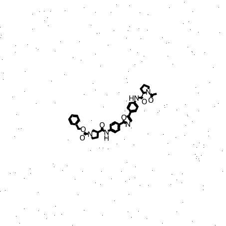 CC(=O)N1CCC[C@@H]1C(=O)Nc1ccc(-c2cnc(-c3ccc(NC(=O)C4CCN(C(=O)OCc5ccccc5)C4)cc3)o2)cc1